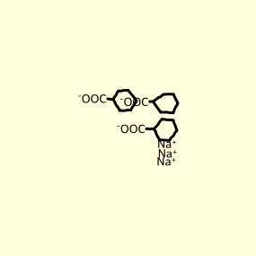 O=C([O-])C1CCCCC1.O=C([O-])C1CCCCC1.O=C([O-])C1CCCCC1.[Na+].[Na+].[Na+]